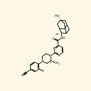 C[C@H]1CN(c2ccc(C#N)cc2F)CCN1c1nccc(C(=O)N[C@H]2C3CC4CC2C[C@](O)(C4)C3)n1